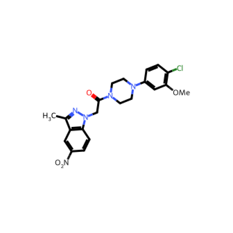 COc1cc(N2CCN(C(=O)Cn3nc(C)c4cc([N+](=O)[O-])ccc43)CC2)ccc1Cl